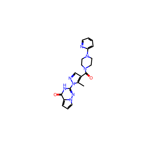 Cc1c(C(=O)N2CCN(c3ccccn3)CC2)cnn1-c1nn2cccc2c(=O)[nH]1